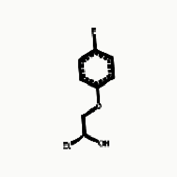 [CH2]C[C@H](O)COc1ccc(F)cc1